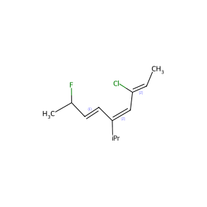 C/C=C(Cl)/C=C(\C=C\C(C)F)C(C)C